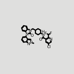 Cn1cc2c(-n3c(=O)n(CC4CCC(NC(=O)c5cc(Cl)cnc5C(F)F)CC4)c4ccccc43)cccc2n1